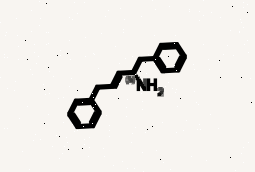 N[C@H](C=CCc1ccccc1)Cc1ccccc1